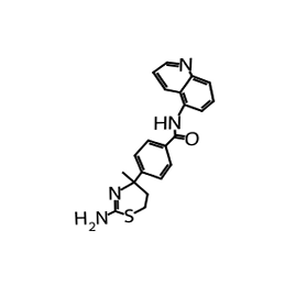 CC1(c2ccc(C(=O)Nc3cccc4ncccc34)cc2)CCSC(N)=N1